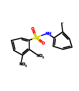 [CH2]c1ccccc1NS(=O)(=O)c1cccc([N+](=O)[O-])c1[N+](=O)[O-]